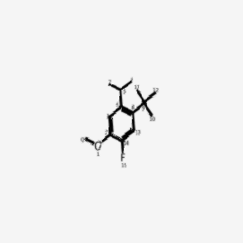 COc1cc(C(C)C)c(C(C)(C)C)cc1F